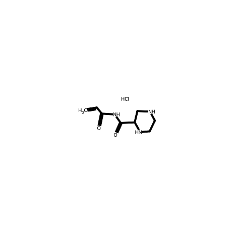 C=CC(=O)NC(=O)C1CNCCN1.Cl